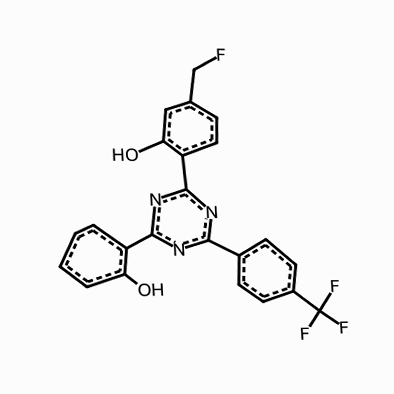 Oc1ccccc1-c1nc(-c2ccc(C(F)(F)F)cc2)nc(-c2ccc(CF)cc2O)n1